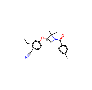 CCc1cc(O[C@@H]2CN(C(=O)c3ccc(C)cc3)C2(C)C)ccc1C#N